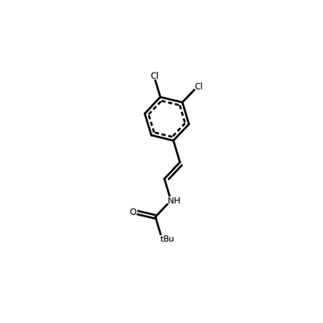 CC(C)(C)C(=O)N/C=C/c1ccc(Cl)c(Cl)c1